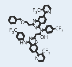 OC(Cc1nc(Nc2ccc(C(F)(F)F)cc2)c2ccc(-c3ncccc3C(F)(F)F)cc2n1)N(c1ccc(C(F)(F)F)cc1)c1nc(CCOCc2ccccc2)nc2cc(-c3ncccc3C(F)(F)F)ccc12